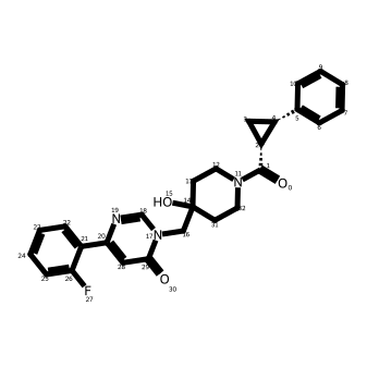 O=C([C@@H]1C[C@@H]1c1ccccc1)N1CCC(O)(Cn2cnc(-c3ccccc3F)cc2=O)CC1